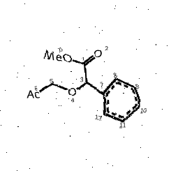 COC(=O)C(OCC(C)=O)c1ccccc1